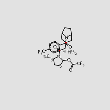 N#C[C@H]1CSC(OC(=O)C(F)(F)F)N1C(=O)[C@@H](N)C1CC2CCC(C1)N2C(=O)c1ccc(C(F)(F)F)cc1